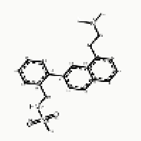 CN(C)CCc1cccc2ccc(-c3ccccc3CNS(C)(=O)=O)cc12